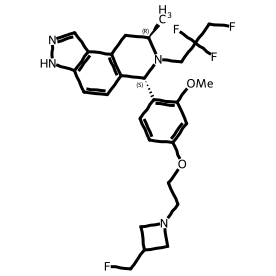 COc1cc(OCCN2CC(CF)C2)ccc1[C@@H]1c2ccc3[nH]ncc3c2C[C@@H](C)N1CC(F)(F)CF